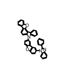 c1ccc(-c2nc3ccccc3n2-c2ccc3oc4ccc(-n5c6ccccc6c6c7oc8ccccc8c7ccc65)cc4c3c2)cc1